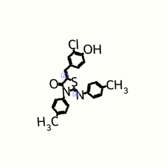 Cc1ccc(/N=C2\S/C(=C\c3ccc(O)c(Cl)c3)C(=O)N2c2ccc(C)cc2)cc1